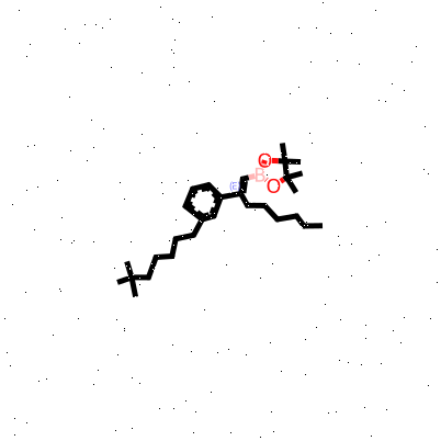 CCCCCC/C(=C\B1OC(C)(C)C(C)(C)O1)c1cccc(CCCCCC(C)(C)C)c1